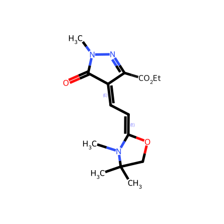 CCOC(=O)C1=NN(C)C(=O)/C1=C/C=C1/OCC(C)(C)N1C